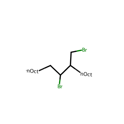 CCCCCCC[CH]CC(Br)C(CBr)CCCCCCCC